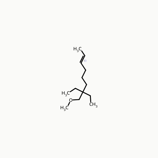 C/C=C/CCCC(CC)(CC)COC